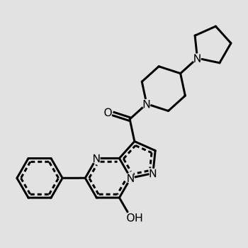 O=C(c1cnn2c(O)cc(-c3ccccc3)nc12)N1CCC(N2CCCC2)CC1